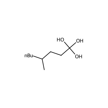 CCCCC(C)CCC(O)(O)O